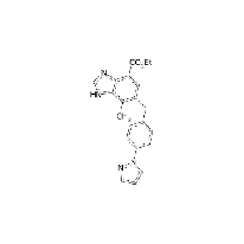 CCOC(=O)c1cc(Cc2ccc(-n3cccn3)cc2)c(C)c2[nH]cnc12